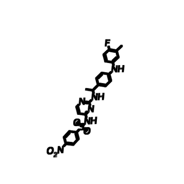 Cc1cc(Nc2ccc(C(C)Nc3nccc(NS(=O)(=O)c4ccc([N+](=O)[O-])cc4)n3)cc2)ccc1F